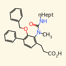 CCCCCCCNC(=O)N(C)c1c(CCC(=O)O)ccc(-c2ccccc2)c1OCc1ccccc1